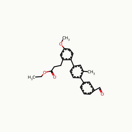 CCOC(=O)CCc1cc(OC)ccc1-c1ccc(-c2cccc(C=O)c2)c(C)c1